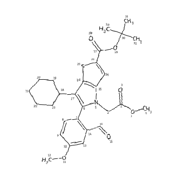 COC(=O)Cn1c(-c2ccc(OC)cc2C=O)c(C2CCCCC2)c2sc(C(=O)OC(C)(C)C)cc21